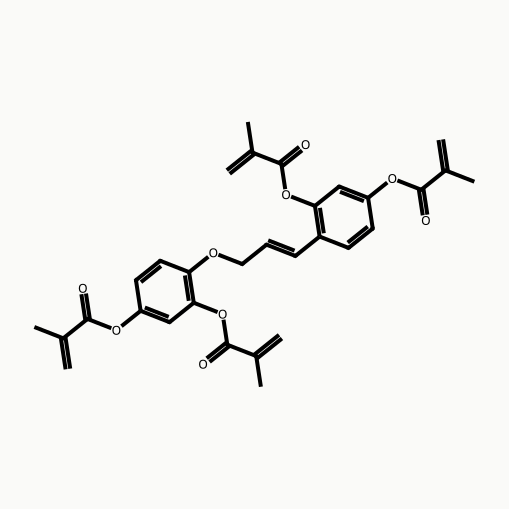 C=C(C)C(=O)Oc1ccc(/C=C/COc2ccc(OC(=O)C(=C)C)cc2OC(=O)C(=C)C)c(OC(=O)C(=C)C)c1